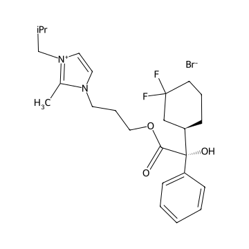 Cc1n(CCCOC(=O)[C@](O)(c2ccccc2)[C@@H]2CCCC(F)(F)C2)cc[n+]1CC(C)C.[Br-]